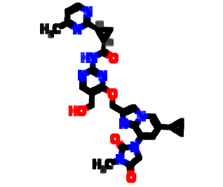 Cc1ccnc([C@H]2C[C@@H]2C(=O)Nc2ncc(CO)c(OCc3cn4cc(C5CC5)cc(N5CC(=O)N(C)C5=O)c4n3)n2)n1